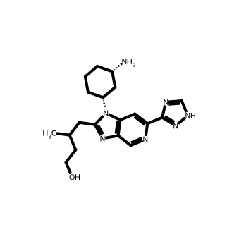 CC(CCO)Cc1nc2cnc(-c3nc[nH]n3)cc2n1[C@@H]1CCC[C@H](N)C1